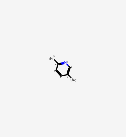 CC(=O)c1ccc(C(C)C)nc1